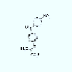 CCOC(=O)C(C)Oc1ccc([S+]([O-])c2ccc([N+](=O)[O-])cc2)cc1